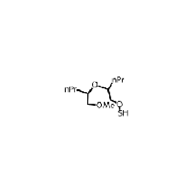 CCCC(COC)OC(CCC)COS